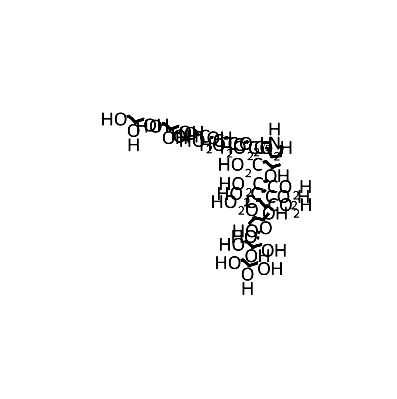 CC(=O)C(=O)O.CC(O)CC(=O)O.CO.CO.CO.O=C(O)CC(=O)O.O=C(O)CC(=O)O.O=C(O)CC(=O)O.O=C(O)CC(=O)O.O=C(O)CCC(=O)O.O=C(O)[C@@H]1CCCN1.O=CO.OCC(O)CO.OCC(O)CO.OCC(O)CO.OCC(O)CO